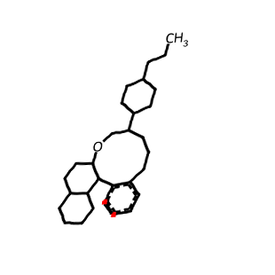 CCCC1CCC(C2CCCc3ccc4c(c3C3C(CCC5CCCCC53)OC2)CCCC4)CC1